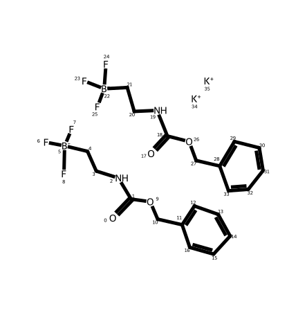 O=C(NCC[B-](F)(F)F)OCc1ccccc1.O=C(NCC[B-](F)(F)F)OCc1ccccc1.[K+].[K+]